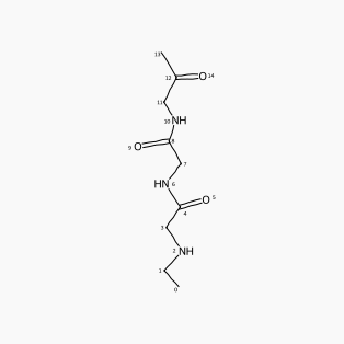 CCNCC(=O)NCC(=O)NCC(C)=O